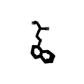 CCCCC(CC)COc1cc[c]c2ccccc12